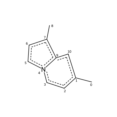 Cc1ccn2ccc(C)c2c1